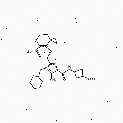 Cc1c(C(=O)NC2CC(C(=O)O)C2)cc(-c2cc(C(C)(C)C)c3c(c2)C2(CCO3)CC2)n1CC1CCCCC1